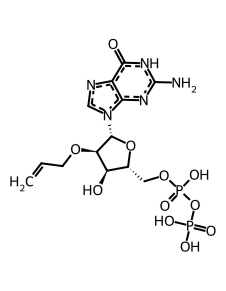 C=CCO[C@@H]1[C@H](O)[C@@H](COP(=O)(O)OP(=O)(O)O)O[C@H]1n1cnc2c(=O)[nH]c(N)nc21